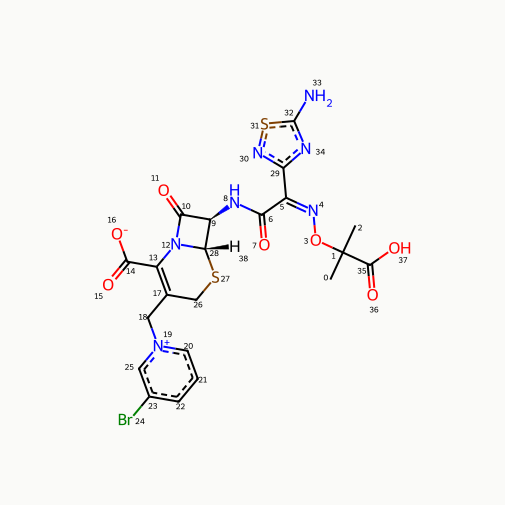 CC(C)(O/N=C(\C(=O)N[C@@H]1C(=O)N2C(C(=O)[O-])=C(C[n+]3cccc(Br)c3)CS[C@@H]12)c1nsc(N)n1)C(=O)O